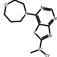 C[S+]([O-])c1nc2ncnc(N3CCCOCC3)c2s1